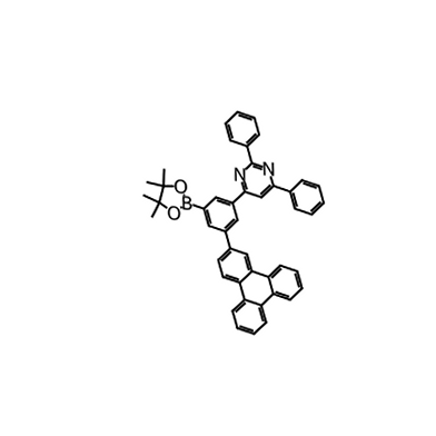 CC1(C)OB(c2cc(-c3ccc4c5ccccc5c5ccccc5c4c3)cc(-c3cc(-c4ccccc4)nc(-c4ccccc4)n3)c2)OC1(C)C